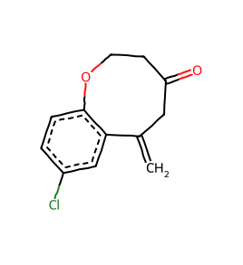 C=C1CC(=O)CCOc2ccc(Cl)cc21